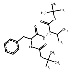 CC(C)[C@H](NC(=O)N(Cc1ccccc1)NC(=O)OC(C)(C)C)C(=O)OC(C)(C)C